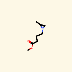 COC(=O)CCCN1CC1C